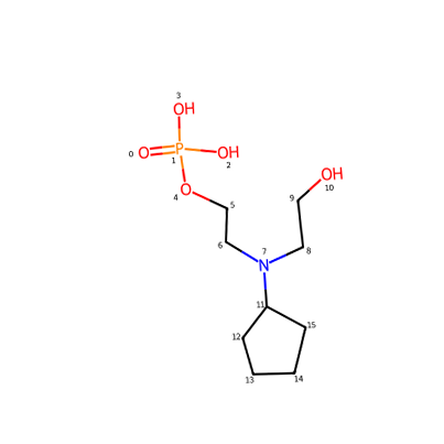 O=P(O)(O)OCCN(CCO)C1CCCC1